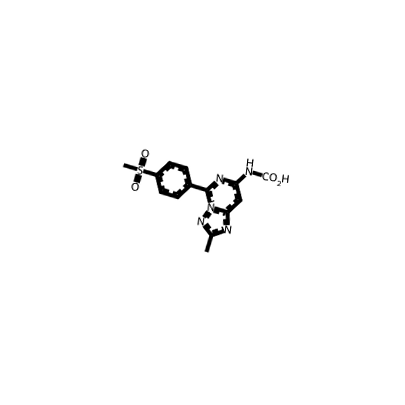 Cc1nc2cc(NC(=O)O)nc(-c3ccc(S(C)(=O)=O)cc3)n2n1